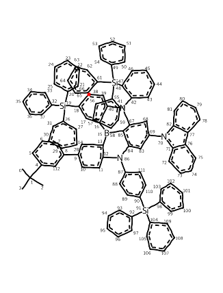 CC(C)(C)c1cccc(-c2ccc3c(c2)B2c4cc([Si](c5ccccc5)(c5ccccc5)c5ccccc5)ccc4N(c4ccccc4[Si](c4ccccc4)(c4ccccc4)c4ccccc4)c4cc(-n5c6ccccc6c6ccccc65)cc(c42)N3c2ccc([Si](c3ccccc3)(c3ccccc3)c3ccccc3)cc2)c1